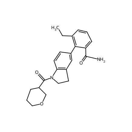 CCc1cccc(C(N)=O)c1-c1ccc2c(c1)CCN2C(=O)C1CCCOC1